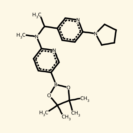 CC(c1ccc(N2CCCC2)nc1)N(C)c1ccc(B2OC(C)(C)C(C)(C)O2)cn1